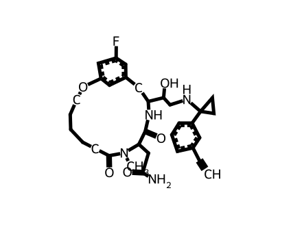 C#Cc1cccc(C2(NCC(O)C3Cc4cc(F)cc(c4)OCCCCCC(=O)N(C)C(CC(N)=O)C(=O)N3)CC2)c1